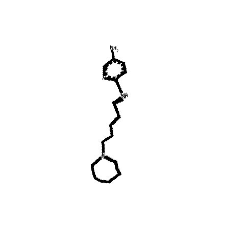 Nc1ccc(NCCCCCN2CCCCC2)nc1